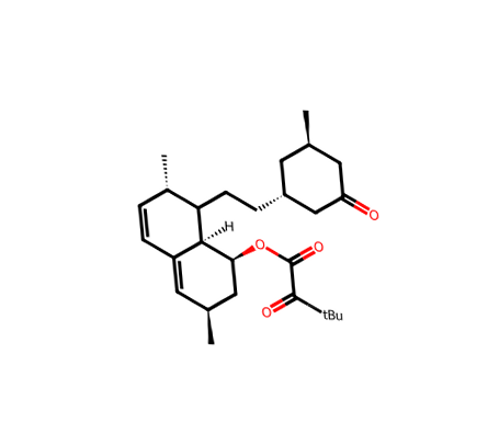 C[C@H]1CC(=O)C[C@H](CCC2[C@@H](C)C=CC3=C[C@H](C)C[C@H](OC(=O)C(=O)C(C)(C)C)[C@@H]32)C1